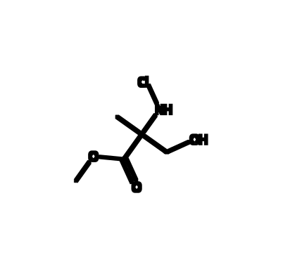 COC(=O)C(C)(CO)NCl